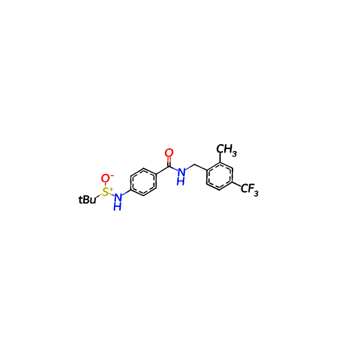 Cc1cc(C(F)(F)F)ccc1CNC(=O)c1ccc(N[S+]([O-])C(C)(C)C)cc1